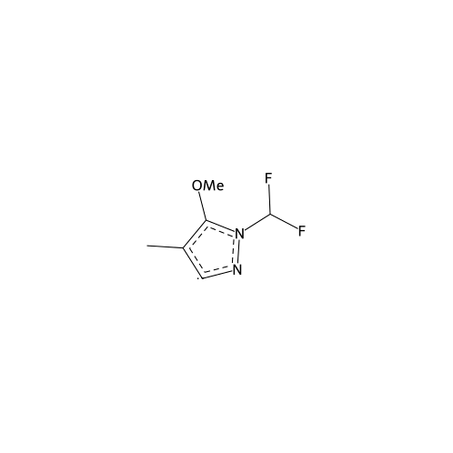 COc1c(C)[c]nn1C(F)F